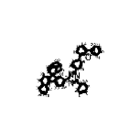 c1ccc(-c2nc(-c3ccc(-c4cccc5c4oc4ccccc45)cc3)nc(-c3ccc4c(c3)C3(c5ccc6ccccc6c5-4)C4CC5CC(C4)CC3C5)n2)cc1